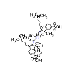 CN(C)CCCN1/C(=C/C=C(Br)/C=C/C2=[N+](CCC[N+](C)(C)C)c3ccc(S(=O)(=O)O)cc3C2(C)C)C(C)(C)c2cc(S(=O)(=O)O)ccc21